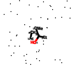 CC(C)=O.CCC(O)OC